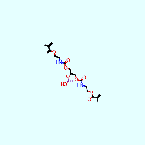 C=C(C)C(=C)OCCNC(=O)OCC(COC(=O)NCCOC(=O)C(=C)C)OPO